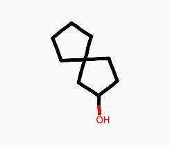 OC1CCC2(CCCC2)C1